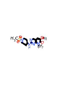 CCOc1cc2cnc(NC3CCN(S(C)(=O)=O)CC3)nc2n(C)c1=O